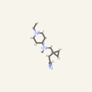 CCN1CCC(N(C)CC2(CC#N)CC2)CC1